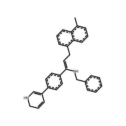 Cc1cccc2c(C/C=C(\NCc3ccccc3)c3ccc(C4=CNCC=C4)cc3)cccc12